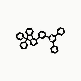 c1ccc(-c2cc(-c3ccccc3)nc(-c3cccc(-c4cccc5c4-c4ccccc4C5(c4ccccc4)c4ccccc4)c3)n2)cc1